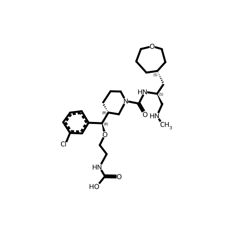 CNC[C@H](C[C@@H]1CCCOCC1)NC(=O)N1CCC[C@@H]([C@@H](OCCNC(=O)O)c2cccc(Cl)c2)C1